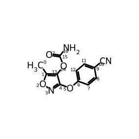 Cc1onc(Oc2ccc(C#N)cc2)c1OC(N)=O